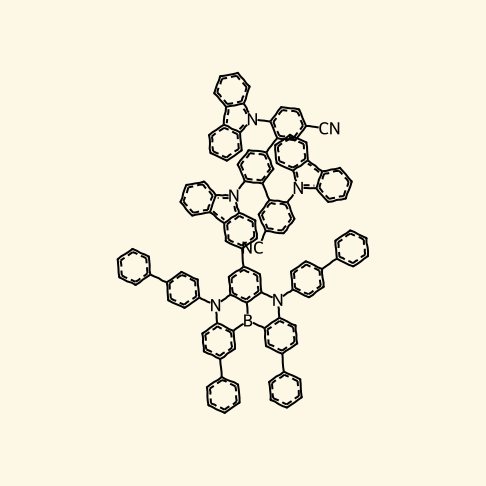 N#Cc1ccc(-n2c3ccccc3c3ccccc32)c(-c2ccc(-n3c4ccccc4c4cc(-c5cc6c7c(c5)N(c5ccc(-c8ccccc8)cc5)c5ccc(-c8ccccc8)cc5B7c5cc(-c7ccccc7)ccc5N6c5ccc(-c6ccccc6)cc5)ccc43)c(-c3cc(C#N)ccc3-n3c4ccccc4c4ccccc43)c2)c1